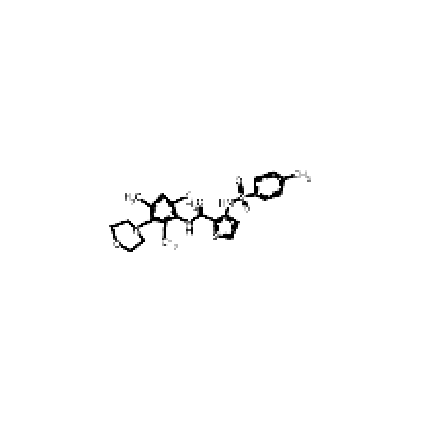 Cc1ccc(S(=O)(=O)Nc2ccsc2C(=O)Nc2c(C)cc(C)c(N3CCOCC3)c2C)cc1